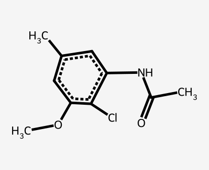 COc1cc(C)cc(NC(C)=O)c1Cl